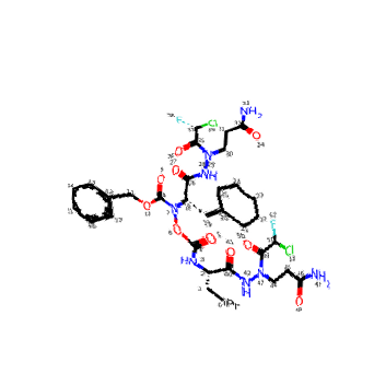 CC(C)C[C@H](NC(=O)ON(C(=O)OCc1ccccc1)[C@@H](CC1CCCCC1)C(=O)NN(CCC(N)=O)C(=O)[C@H](F)Cl)C(=O)NN(CCC(N)=O)C(=O)C(F)Cl